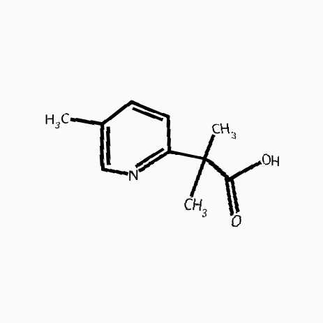 Cc1ccc(C(C)(C)C(=O)O)nc1